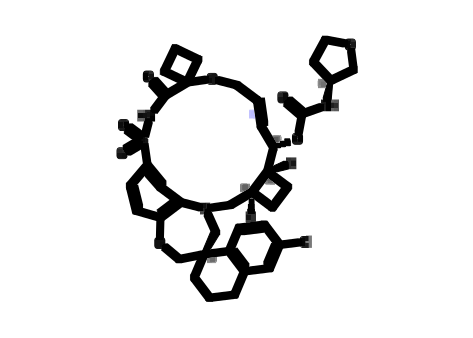 O=C(N[C@H]1CCOC1)O[C@H]1/C=C/COC2(CCC2)C(=O)NS(=O)(=O)c2ccc3c(c2)N(C[C@@H]2CC[C@H]21)C[C@@]1(CCCc2cc(Cl)ccc21)CO3